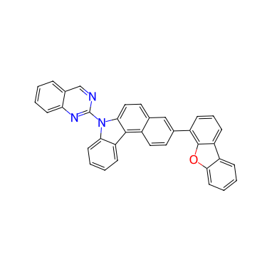 c1ccc2nc(-n3c4ccccc4c4c5ccc(-c6cccc7c6oc6ccccc67)cc5ccc43)ncc2c1